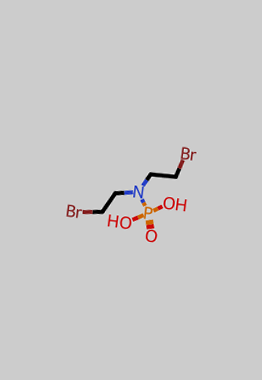 O=P(O)(O)N(CCBr)CCBr